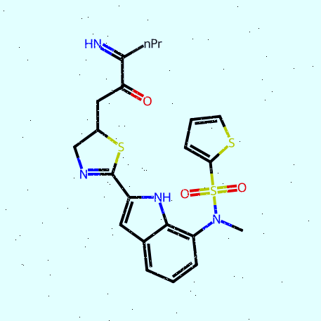 CCCC(=N)C(=O)CC1CN=C(c2cc3cccc(N(C)S(=O)(=O)c4cccs4)c3[nH]2)S1